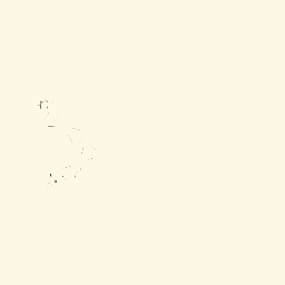 CCCCCCCCCCCCCCCC[C@H]1CC[C@H](CCC2CCC(c3ccc(Oc4ccc([N+](=O)[O-])cc4)cc3)(c3ccc(Oc4ccc([N+](=O)[O-])cc4)cc3)CC2)CC1